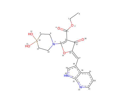 CCOC(=O)C1=C(N2CCS(O)(O)CC2)OC(=Cc2c[nH]c3ncccc23)C1=O